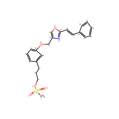 CS(=O)(=O)OCCCc1cccc(OCc2coc(C=Cc3ccccc3)n2)c1